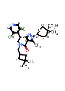 CC1(C)CC(CN(CCc2c(Cl)cncc2Cl)C(=O)c2cnn([C@H]3CC[C@](C)(C(=O)O)CC3)c2C(F)(F)F)C1